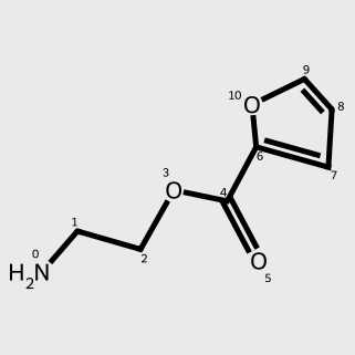 NCCOC(=O)c1ccco1